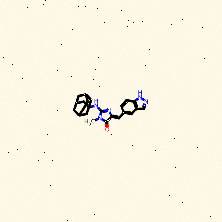 CN1C(=O)/C(=C/c2ccc3[nH]ncc3c2)N=C1NC12CC3CC(CC(C3)C1)C2